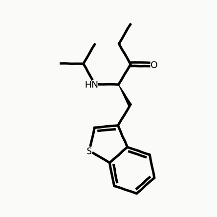 CCC(=O)[C@@H](Cc1csc2ccccc12)NC(C)C